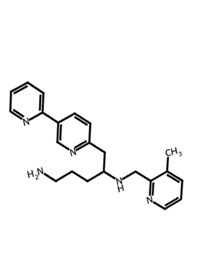 Cc1cccnc1CNC(CCCN)Cc1ccc(-c2ccccn2)cn1